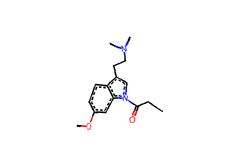 CCC(=O)n1cc(CCN(C)C)c2ccc(OC)cc21